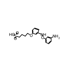 Nc1cccc(ONc2cccc(OCCCCS(=O)(=O)O)c2)c1